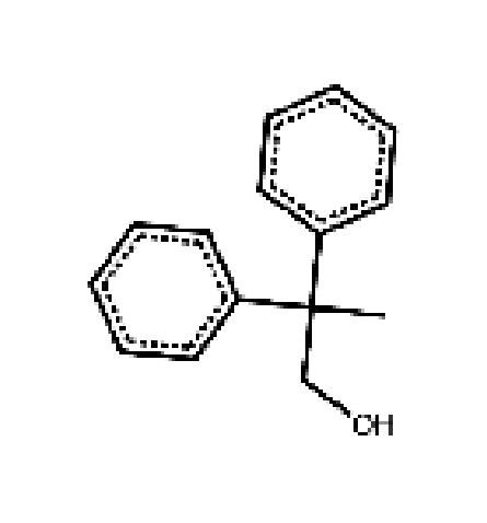 CC(CO)(c1ccccc1)c1ccccc1